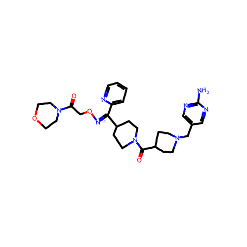 Nc1ncc(CN2CCC(C(=O)N3CCC(/C(=N/OCC(=O)N4CCOCC4)c4ccccn4)CC3)CC2)cn1